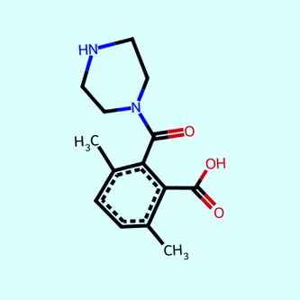 Cc1ccc(C)c(C(=O)N2CCNCC2)c1C(=O)O